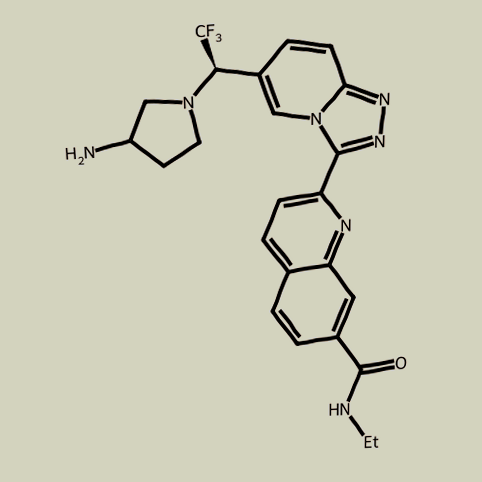 CCNC(=O)c1ccc2ccc(-c3nnc4ccc([C@@H](N5CCC(N)C5)C(F)(F)F)cn34)nc2c1